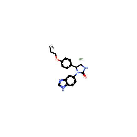 CCCOc1ccc(C2CNC(=O)N2c2ccc3[nH]cnc3c2)cc1.Cl